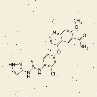 COc1cc2nccc(Oc3ccc(NC(=S)Nc4cc[nH]n4)c(Cl)c3)c2cc1C(N)=O